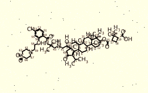 CC(C)C1=C2[C@H]3CC[C@@H]4[C@@]5(C)CC[C@H](OC(=O)[C@H]6C[C@@H](C(=O)O)C6(C)C)C(C)(C)[C@@H]5CC[C@@]4(C)[C@]3(C)CC[C@@]2([C@@H](O)CNCC(C)(C)NC(=O)c2ccc(Cl)cc2OCCN2CCS(=O)(=O)CC2)CC1=O